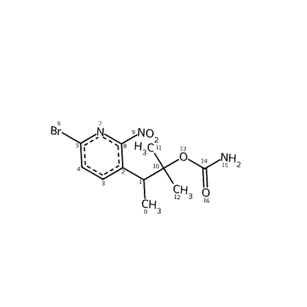 CC(c1ccc(Br)nc1[N+](=O)[O-])C(C)(C)OC(N)=O